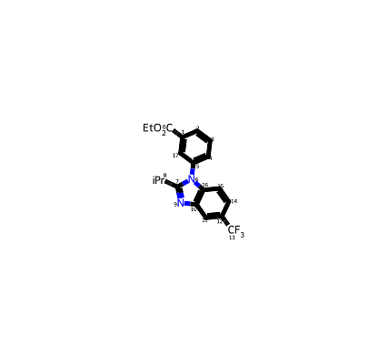 CCOC(=O)c1cccc(-n2c(C(C)C)nc3cc(C(F)(F)F)ccc32)c1